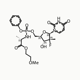 COCCOC(=O)[C@H](C)NP(=O)(OC[C@H]1O[C@@H](n2ccc(=O)[nH]c2=O)[C@](C)(F)[C@@H]1O)Oc1ccccc1